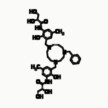 Cc1cc(CN2CCCN(Cc3ccccc3)CCN(Cc3cc(C)cc(NC(=O)C(O)CO)c3O)CCC2)c(O)c(NC(=O)C(O)CO)c1